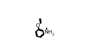 C=COc1ccccc1.CN